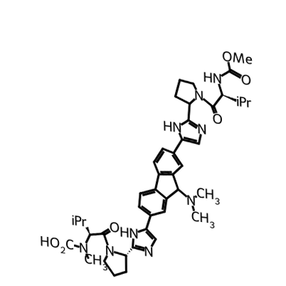 COC(=O)N[C@H](C(=O)N1CCCC1c1ncc(-c2ccc3c(c2)C(N(C)C)c2cc(-c4cnc([C@@H]5CCCN5C(=O)[C@H](C(C)C)N(C)C(=O)O)[nH]4)ccc2-3)[nH]1)C(C)C